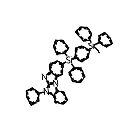 C[Si](c1ccccc1)(c1ccccc1)c1ccc([Si](c2ccccc2)(c2ccccc2)c2ccc3nc4n(-c5ccccc5)c5ccccc5n4c3c2)cc1